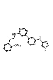 COc1ccccc1[C@H](C)CNc1cc(-c2ccnc(Nc3nn[nH]n3)c2)ncn1